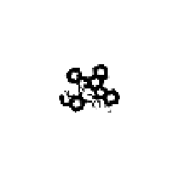 CC1(C)c2ccccc2-c2c1c1c(c3ccccc23)c2ccccc2n1-c1cccc2c1N=CC2